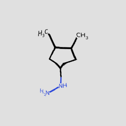 CC1CC(NN)CC1C